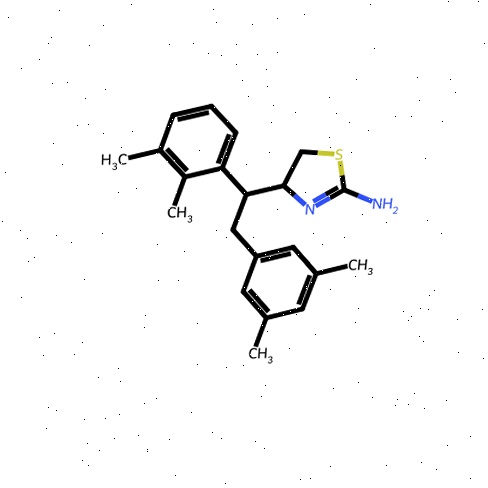 Cc1cc(C)cc(CC(c2cccc(C)c2C)C2CSC(N)=N2)c1